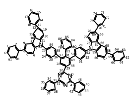 c1ccc(-c2ccc3c(c2)c2cc(-c4ccccc4)ccc2n3-c2ccc(-c3cc(-c4nc(-c5ccccc5)nc(-c5ccccc5)n4)cc(-c4ccc(-n5c6ccc(-c7ccccc7)cc6c6cc(-c7ccccc7)ccc65)cc4)c3-c3ccccn3)cc2)cc1